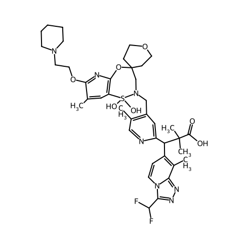 Cc1cnc(C(c2ccn3c(C(F)F)nnc3c2C)C(C)(C)C(=O)O)cc1CN1CC2(CCOCC2)Oc2nc(OCCN3CCCCC3)c(C)cc2S1(O)O